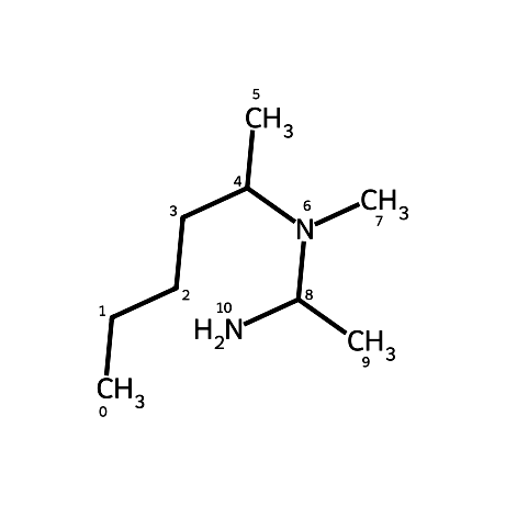 CCCCC(C)N(C)C(C)N